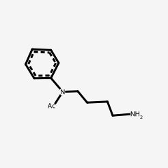 CC(=O)N(CCCCN)c1ccccc1